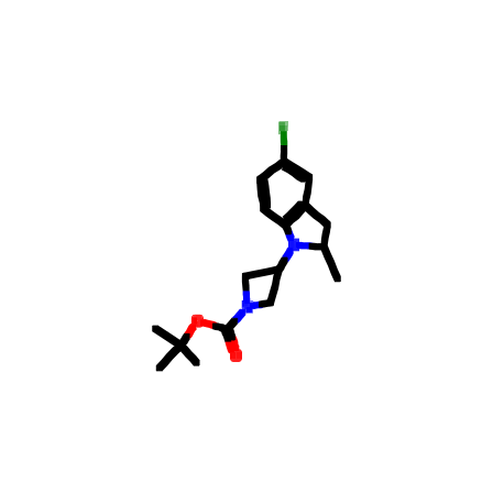 CC1Cc2cc(F)ccc2N1C1CN(C(=O)OC(C)(C)C)C1